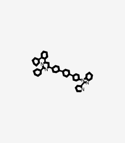 c1ccc(-c2nc(-c3ccc(-c4ccc(-c5ccc(-n6c(-c7ccccn7)nc7ccccc76)cc5)cc4)cc3)cc(-c3ccccc3-c3ccccc3)n2)cc1